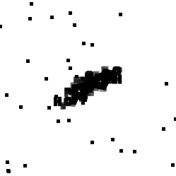 CCc1c(F)cc(NS(=O)(=O)c2ccc3c(c2)CC(=O)N3)c(F)c1F